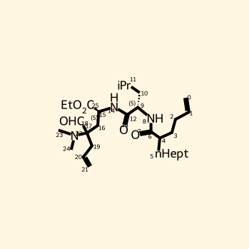 C=CCCC(CCCCCCC)C(=O)N[C@@H](CC(C)C)C(=O)N[C@@H](CC(C=O)(CC=C)N(C)C)C(=O)OCC